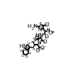 CO/N=C(\C(=O)N[C@@H]1C(=O)N2C(C(=O)[O-])=C(Cc3c[nH][n+]4ccccc34)CS[C@H]12)c1nc(N)sc1Cl